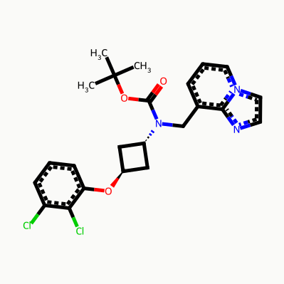 CC(C)(C)OC(=O)N(Cc1cccn2ccnc12)[C@H]1C[C@H](Oc2cccc(Cl)c2Cl)C1